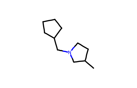 CC1CCN(CC2CCCC2)C1